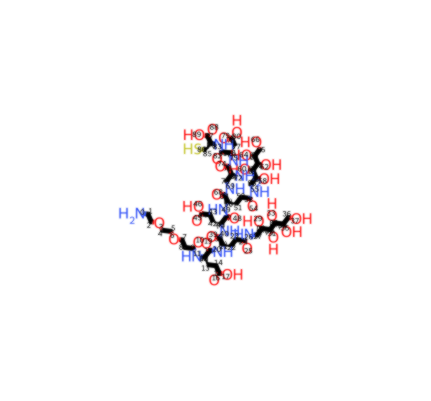 NCCOCCOCCC(=O)N[C@H](CCC(=O)O)C(=O)N[C@H](CCC(=O)NC[C@H](O)[C@@H](O)[C@H](O)[C@H](O)CO)C(=O)N[C@H](CCC(=O)O)C(=O)N[C@H](CCC(=O)NC[C@H](O)[C@@H](O)[C@H](O)[C@H](O)CO)C(=O)NC[C@H](N)C(=O)N[C@@H](CC(=O)O)C(=O)N[C@@H](CS)C(=O)O